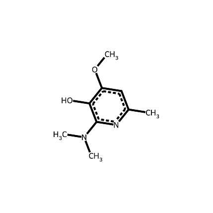 COc1cc(C)nc(N(C)C)c1O